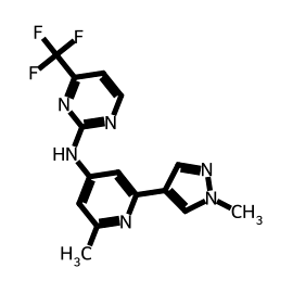 Cc1cc(Nc2nccc(C(F)(F)F)n2)cc(-c2cnn(C)c2)n1